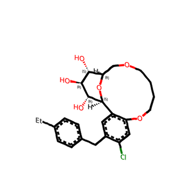 CCc1ccc(Cc2cc3c(cc2Cl)OCCCCOC[C@H]2O[C@@H]3[C@H](O)[C@@H](O)[C@@H]2O)cc1